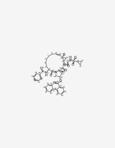 O=C(N[C@H]1CCCCC/C=C\[C@@H]2C[C@@]2(C(=O)NS(=O)(=O)C2CC2)NC(=O)[C@@H]2C[C@@H](Oc3nc4ccccc4c4ccccc34)CN2C1=O)c1ccncn1